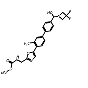 CC(C)(C)OC(=O)NCc1ncc(-c2ccc(-c3ccc(C(O)N4CC(F)(F)C4)cc3)cc2C(F)(F)F)o1